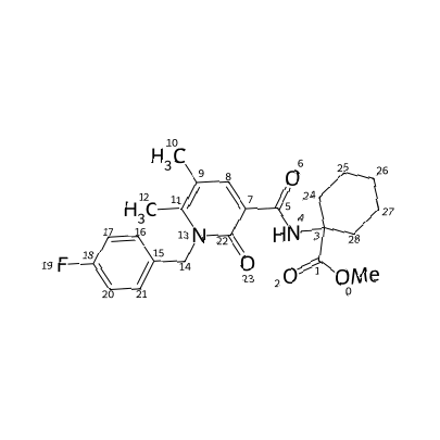 COC(=O)C1(NC(=O)c2cc(C)c(C)n(Cc3ccc(F)cc3)c2=O)CCCCC1